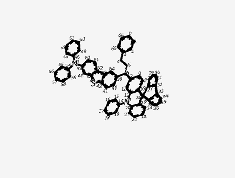 c1ccc(CC[C@@H](c2ccc3c(c2)N(c2ccccc2)c2ccccc2C32c3ccccc3-c3ccccc32)c2ccc3sc4cc(N(c5ccccc5)c5ccccc5)ccc4c3c2)cc1